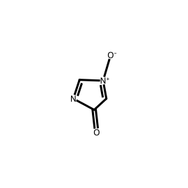 O=C1C=[N+]([O-])C=N1